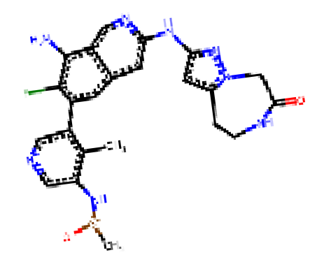 Cc1c(N[S+](C)[O-])cncc1-c1cc2cc(Nc3cc4n(n3)CC(=O)NCC4)ncc2c(N)c1F